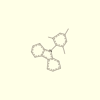 Cc1cc(C)c(-n2c3ccccc3c3ccccc32)c(C)c1